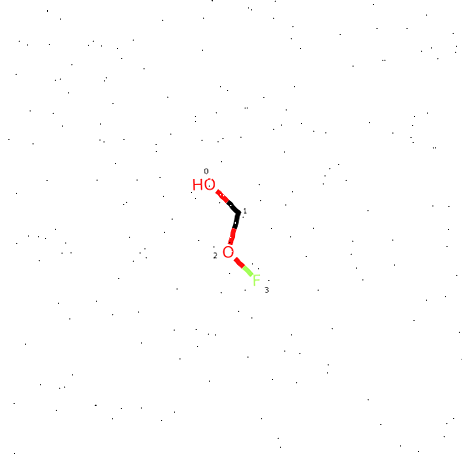 OCOF